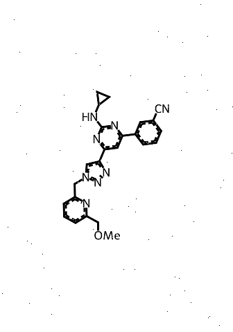 COCc1cccc(Cn2cc(-c3cc(-c4cccc(C#N)c4)nc(NC4CC4)n3)nn2)n1